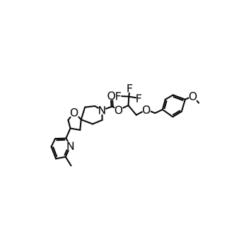 COc1ccc(COCC(OC(=O)N2CCC3(CC2)CC(c2cccc(C)n2)CO3)C(F)(F)F)cc1